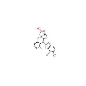 CC1(CC(=O)O)Oc2cccc(F)c2N(c2nc3ccc(Cl)c(Cl)c3s2)C1=O